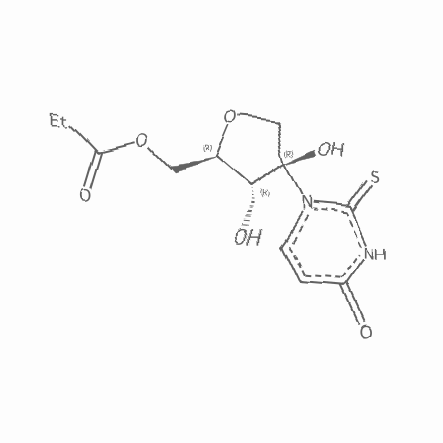 CCC(=O)OC[C@H]1OC[C@](O)(n2ccc(=O)[nH]c2=S)[C@@H]1O